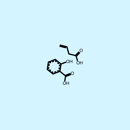 C=CCC(=O)O.O=C(O)c1ccccc1O